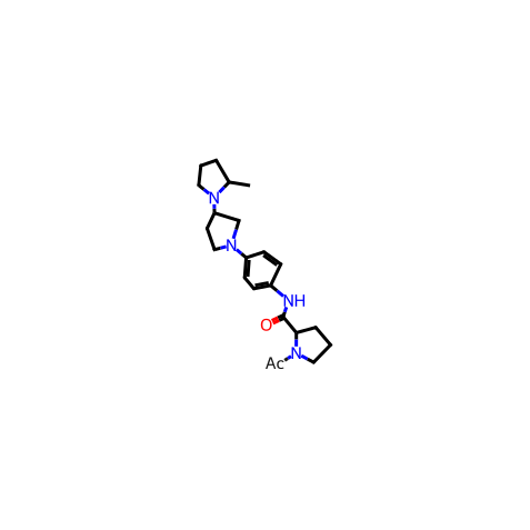 CC(=O)N1CCCC1C(=O)Nc1ccc(N2CCC(N3CCCC3C)C2)cc1